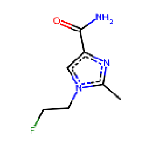 Cc1nc(C(N)=O)cn1CCF